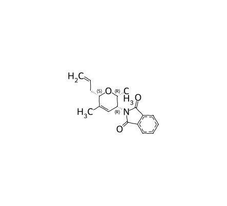 C=CC[C@@H]1O[C@H](C)[C@H](N2C(=O)c3ccccc3C2=O)C=C1C